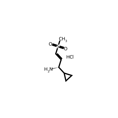 CS(=O)(=O)/C=C/[C@@H](N)C1CC1.Cl